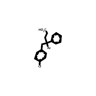 CC(=O)C(CCC(=O)O)(Cc1ccc(Cl)cc1)c1ccccc1